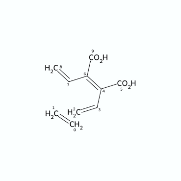 C=C.C=C/C(C(=O)O)=C(\C=C)C(=O)O